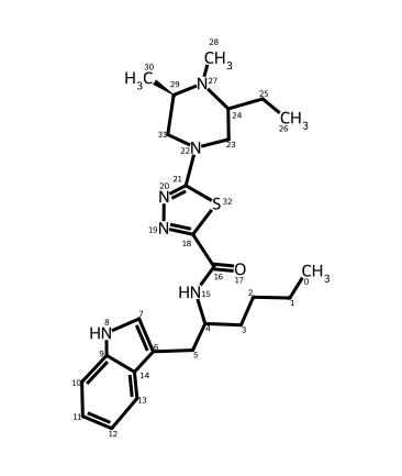 CCCCC(Cc1c[nH]c2ccccc12)NC(=O)c1nnc(N2CC(CC)N(C)[C@H](C)C2)s1